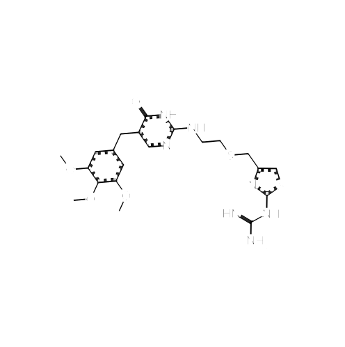 COc1cc(Cc2cnc(NCCSCc3csc(NC(=N)N)n3)[nH]c2=O)cc(OC)c1OC